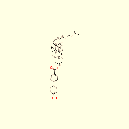 CC(C)CCC[C@@H](C)[C@H]1CC[C@H]2[C@@H]3CC=C4C[C@@H](OC(=O)c5ccc(-c6ccc(O)cc6)cc5)CC[C@]4(C)[C@H]3CC[C@]12C